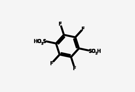 O=S(=O)(O)c1c(F)c(F)c(S(=O)(=O)O)c(F)c1F